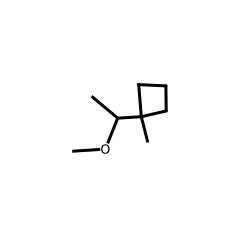 COC(C)C1(C)CCC1